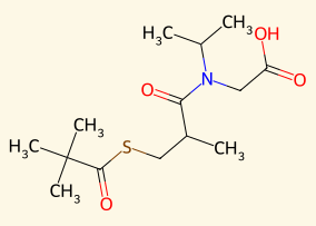 CC(CSC(=O)C(C)(C)C)C(=O)N(CC(=O)O)C(C)C